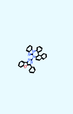 c1ccc(-c2nc(N3c4ccc5ccccc5c4-c4ccccc4-n4c3nc3ccccc34)nc3c2oc2ccccc23)cc1